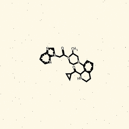 CC1CN(c2cccc3c2C(C(=O)C2CC2)NCC3)CCN1C(=O)Cn1cnc2cccnc21